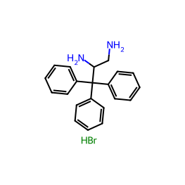 Br.NCC(N)C(c1ccccc1)(c1ccccc1)c1ccccc1